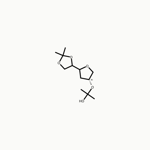 CC(C)(O)O[C@H]1COC(C2COC(C)(C)O2)C1